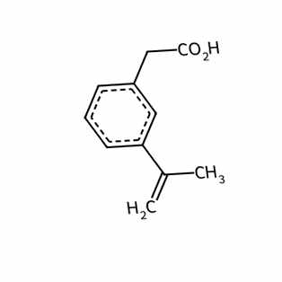 C=C(C)c1cccc(CC(=O)O)c1